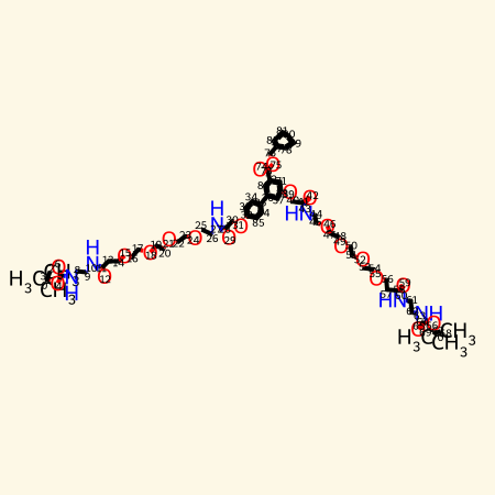 CC(C)(C)OC(=O)NCCNC(=O)CCOCCOCCOCCOCCNC(=O)COc1ccc(-c2cc(OCC(=O)NCCOCCOCCOCCOCCC(=O)NCCNC(=O)OC(C)(C)C)cc(C(=O)OCc3ccccc3)c2)cc1